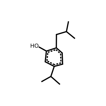 CC(C)Cc1ccc(C(C)C)cc1O